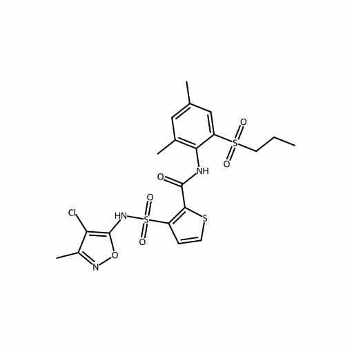 CCCS(=O)(=O)c1cc(C)cc(C)c1NC(=O)c1sccc1S(=O)(=O)Nc1onc(C)c1Cl